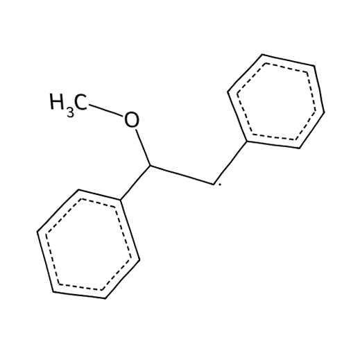 COC([CH]c1ccccc1)c1ccccc1